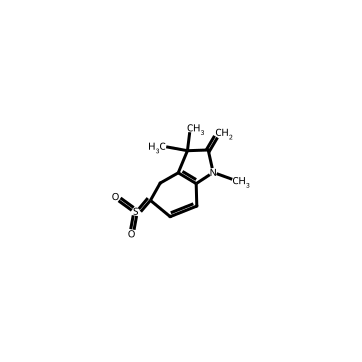 C=C1N(C)C2=C(CC(=S(=O)=O)C=C2)C1(C)C